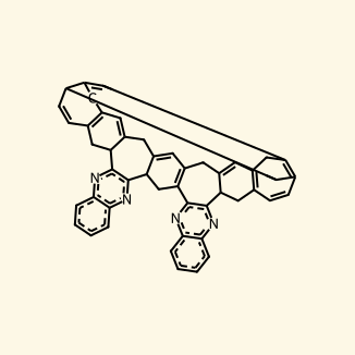 C1=CC2=C3C=C4CC5=C(CC6C(=C5)CC5=CC7=C(C=CC8CC1=C(C=C8C7)C3)CC5c1nc3ccccc3nc16)c1nc3ccccc3nc1C4C2